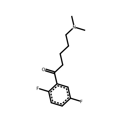 CN(C)CCCCC(=O)c1cc(F)ccc1F